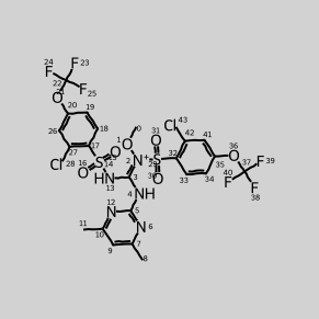 CO[N+](=C(Nc1nc(C)cc(C)n1)NS(=O)(=O)c1ccc(OC(F)(F)F)cc1Cl)S(=O)(=O)c1ccc(OC(F)(F)F)cc1Cl